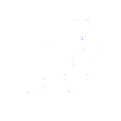 CC[C@@H](Sc1ccc2nnc(-c3cccs3)n2n1)C(=O)N1CCN(C)CC1